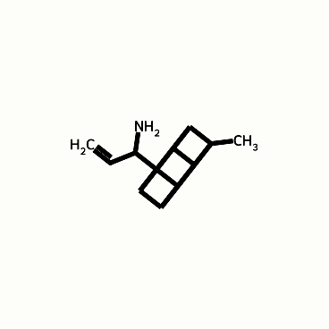 C=CC(N)C12C3C4C1C1C2C3C41C